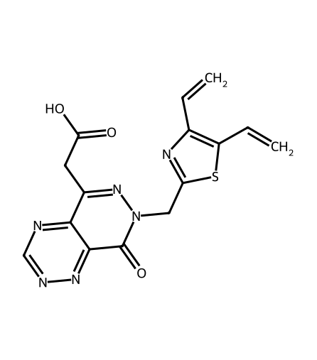 C=Cc1nc(Cn2nc(CC(=O)O)c3ncnnc3c2=O)sc1C=C